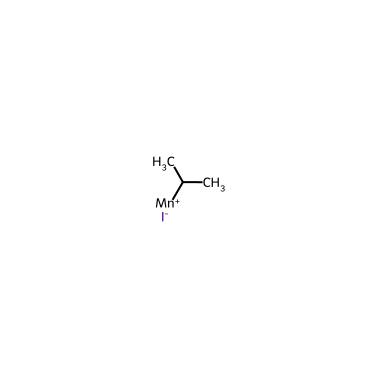 C[CH](C)[Mn+].[I-]